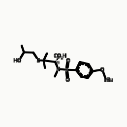 CCCCOc1ccc(S(=O)(=O)N(C)[C@@H](C(=O)O)C(C)(C)SCC(C)O)cc1